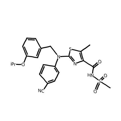 Cc1sc(N(Cc2cccc(OC(C)C)c2)c2ccc(C#N)cc2)nc1C(=O)NS(C)(=O)=O